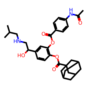 CC(=O)Nc1ccc(C(=O)Oc2cc(C(O)CNCC(C)C)ccc2OC(=O)C23CC4CC(CC(C4)C2)C3)cc1